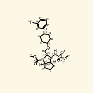 CNS(=O)(=O)N[C@H]1[C@H]2CCC[C@H]2N(C(=O)OC)[C@H]1CO[C@H]1CC[C@@H](c2cccc(F)c2)CC1